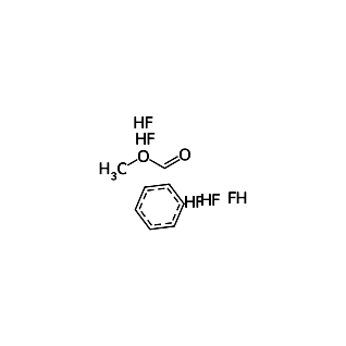 COC=O.F.F.F.F.F.c1ccccc1